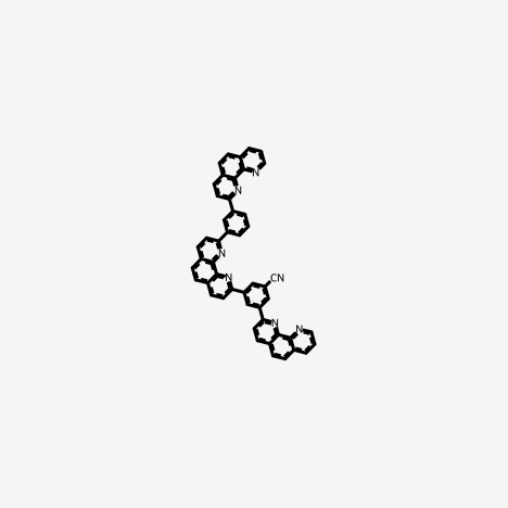 N#Cc1cc(-c2ccc3ccc4cccnc4c3n2)cc(-c2ccc3ccc4ccc(-c5cccc(-c6ccc7ccc8cccnc8c7n6)c5)nc4c3n2)c1